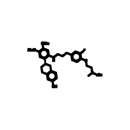 CCCCN(C)CCOc1ccc(CCCNc2cc(OC)c(OC)cc2[C@@H]2CCc3cc(O)ccc3C2)cc1F